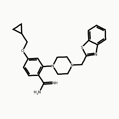 N=C(N)c1ccc(OCC2CC2)cc1N1CCN(Cc2nc3ccccc3s2)CC1